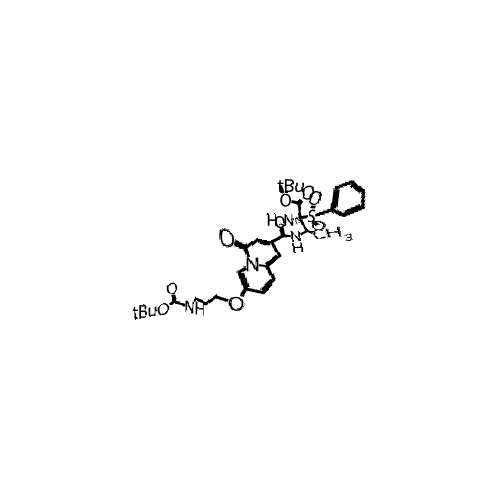 CC(NC(=O)c1cc(=O)n2cc(OCCCNC(=O)OC(C)(C)C)ccc2c1)[C@@](N)(C(=O)OC(C)(C)C)S(=O)(=O)c1ccccc1